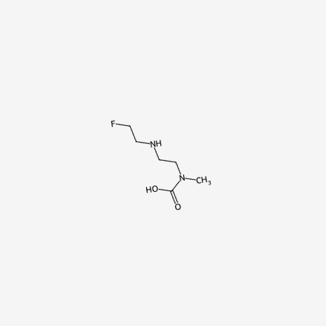 CN(CCNCCF)C(=O)O